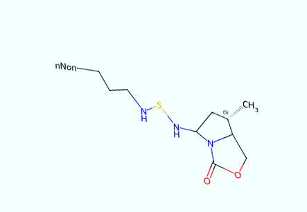 CCCCCCCCCCCCNSNC1C[C@H](C)C2COC(=O)N12